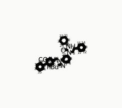 CCCCc1nc2ccc(N(CCc3ccccc3)C(=O)NC3CCCCC3)cc2n1Cc1ccc(-c2ccccc2C(=O)O)cc1